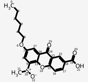 CCCCCCOc1cc([S+](C)[O-])c2oc3ccc(C(=O)O)cc3c(=O)c2c1